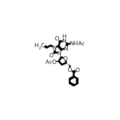 C=CCn1c(=O)n([C@@H]2O[C@H](COC(=O)c3ccccc3)C[C@H]2OC(C)=O)c2nc(NC(C)=O)[nH]c(=O)c21